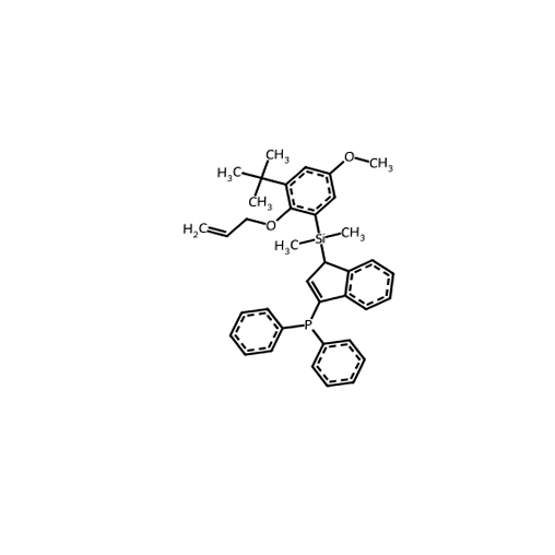 C=CCOc1c(C(C)(C)C)cc(OC)cc1[Si](C)(C)C1C=C(P(c2ccccc2)c2ccccc2)c2ccccc21